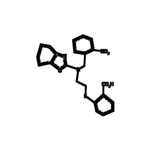 O=C(O)c1ccccc1SCCN(Cc1ccccc1[N+](=O)[O-])c1nc2ccccc2o1